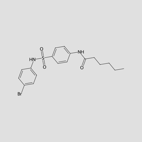 CCCCCC(=O)Nc1ccc(S(=O)(=O)Nc2ccc(Br)cc2)cc1